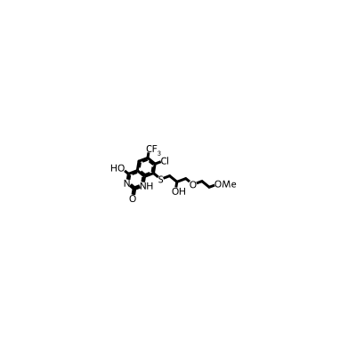 COCCOCC(O)CSc1c(Cl)c(C(F)(F)F)cc2c(O)nc(=O)[nH]c12